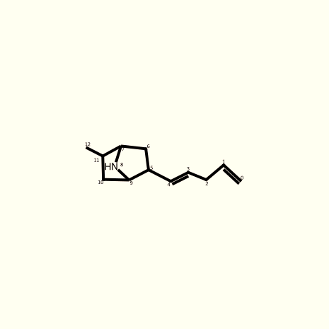 C=CC/C=C/C1CC2NC1CC2C